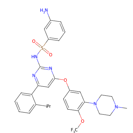 CC(C)c1ccccc1-c1cc(Oc2ccc(OC(F)(F)F)c(N3CCN(C)CC3)c2)nc(NS(=O)(=O)c2cccc(N)c2)n1